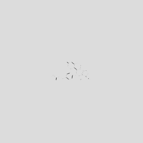 CCNC(=O)OCc1ccc([C@H]2C[C@@]3(C)C(CC[C@@]3(O)C(F)(F)C(F)(F)F)C3CCC4=CC(=O)CCC4=C32)cc1